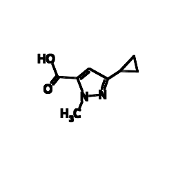 Cn1nc(C2CC2)cc1C(=O)O